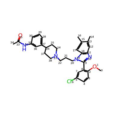 COc1ccc(Cl)cc1-c1nc2cc(C)c(C)cc2n1CCCN1CCC(c2cccc(NC(C)=O)c2)CC1